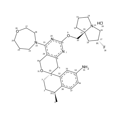 C[C@H]1CC[C@]2(Cc3nc(OC[C@@]45CCCN4C[C@H](F)C5)nc(N4CCCOCC4)c3CO2)c2cc(N)ccc21.Cl